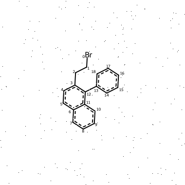 BrCCc1ccc2ccccc2c1-c1ccccc1